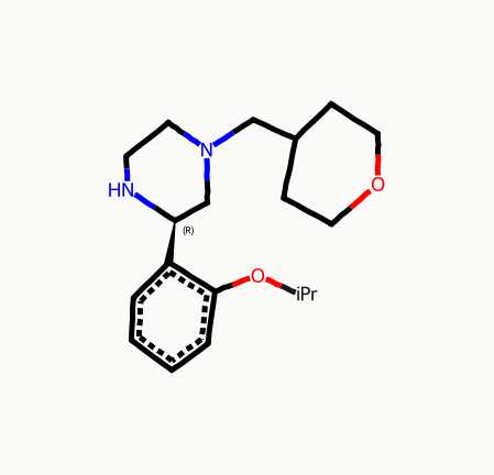 CC(C)Oc1ccccc1[C@@H]1CN(CC2CCOCC2)CCN1